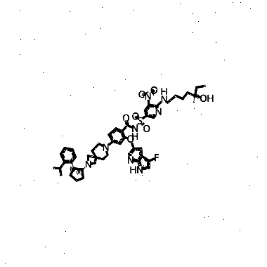 CC[C@@](C)(O)CCCCNc1ncc(S(=O)(=O)NC(=O)c2ccc(N3CCC4(CC3)CN([C@@H]3CCC[C@@H]3c3ccccc3C(C)C)C4)cc2Oc2cnc3[nH]cc(F)c3c2)cc1[N+](=O)[O-]